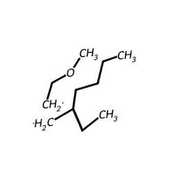 [CH2]C(CC)CCCC.[CH2]COC